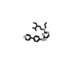 CCCN(CCC(CC)C(C)C)c1nccc(Nc2ccc(-c3ccncc3)cc2)n1